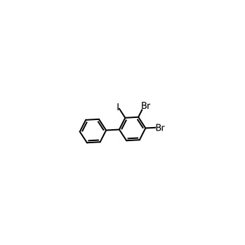 Brc1ccc(-c2ccccc2)c(I)c1Br